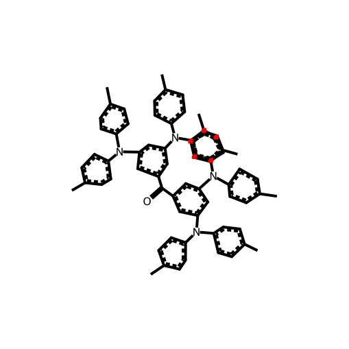 Cc1ccc(N(c2ccc(C)cc2)c2cc(C(=O)c3cc(N(c4ccc(C)cc4)c4ccc(C)cc4)cc(N(c4ccc(C)cc4)c4ccc(C)cc4)c3)cc(N(c3ccc(C)cc3)c3ccc(C)cc3)c2)cc1